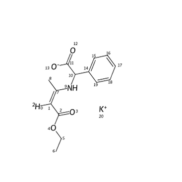 [2H]C(C(=O)OCC)=C(C)NC(C(=O)[O-])c1ccccc1.[K+]